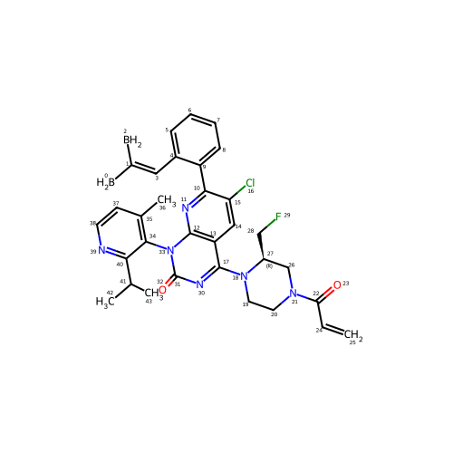 BC(B)=Cc1ccccc1-c1nc2c(cc1Cl)c(N1CCN(C(=O)C=C)C[C@@H]1CF)nc(=O)n2-c1c(C)ccnc1C(C)C